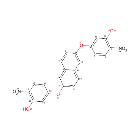 O=[N+]([O-])c1ccc(Oc2ccc3cc(Oc4ccc([N+](=O)[O-])c(O)c4)ccc3c2)cc1O